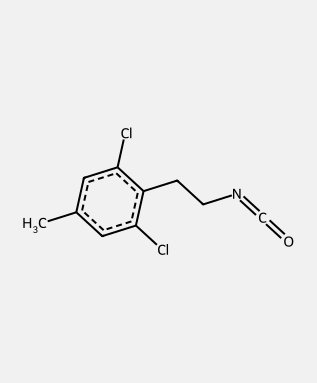 Cc1cc(Cl)c(CCN=C=O)c(Cl)c1